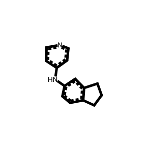 c1cc(Nc2ccc3c(c2)CCC3)ccn1